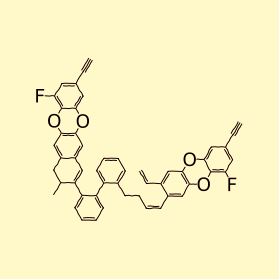 C#Cc1cc(F)c2c(c1)Oc1cc(C=C)c(/C=C\CCc3ccccc3-c3ccccc3C3=Cc4cc5c(cc4CC3C)Oc3c(F)cc(C#C)cc3O5)cc1O2